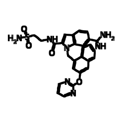 N=C(N)c1ccc2cc(C(=O)NCCS(N)(=O)=O)n(Cc3cc(Oc4ncccn4)cc4ccccc34)c2c1